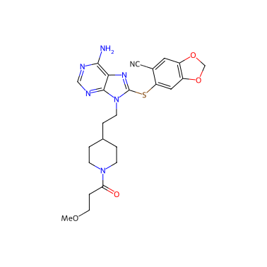 COCCC(=O)N1CCC(CCn2c(Sc3cc4c(cc3C#N)OCO4)nc3c(N)ncnc32)CC1